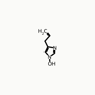 C=CCc1[c]n(O)cn1